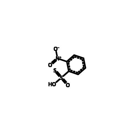 O=[N+]([O-])c1ccccc1S(=O)(O)=S